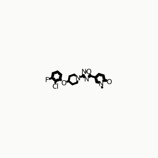 Cn1cc(-c2nc(N3CCC(Oc4cccc(F)c4Cl)CC3)no2)ccc1=O